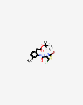 Cc1ccc(CC(=O)OC(C)(C)C)c(NC(=O)c2nc(Br)sc2Cl)c1